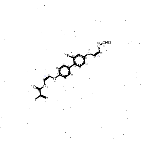 C=C(C)C(=O)O/C=C\Oc1ccc(-c2ccc(O/C=C\OC=O)cc2F)cc1